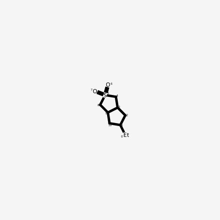 CCC1CC2CS(=O)(=O)CC2C1